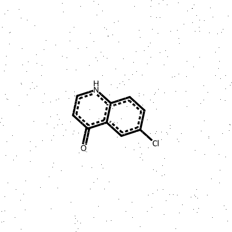 O=c1c[c][nH]c2ccc(Cl)cc12